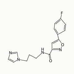 O=C(NCCCn1ccnc1)c1cc(-c2ccc(F)cc2)on1